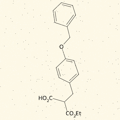 CCOC(=O)C(Cc1ccc(OCc2ccccc2)cc1)C(=O)O